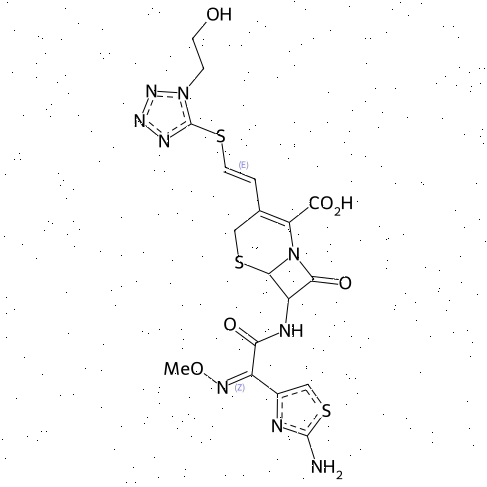 CO/N=C(\C(=O)NC1C(=O)N2C(C(=O)O)=C(/C=C/Sc3nnnn3CCO)CSC12)c1csc(N)n1